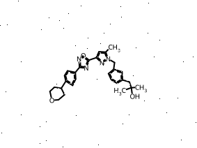 Cc1cc(-c2nc(-c3ccc(C4CCOCC4)cc3)no2)nn1Cc1cccc(CC(C)(C)O)c1